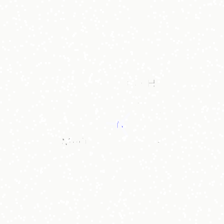 COCN1CCCC1C(=O)O